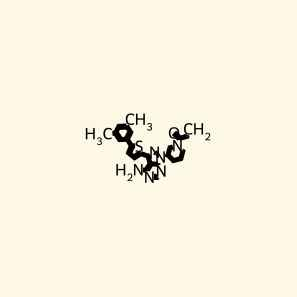 C=CC(=O)N1CCC[C@@H](n2nc(-c3ccc(-c4cc(C)cc(C)c4)s3)c3c(N)ncnc32)C1